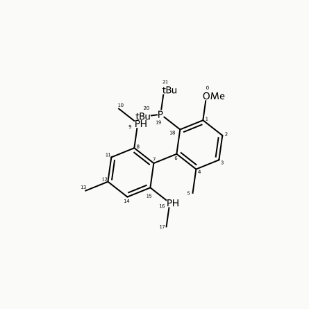 COc1ccc(C)c(-c2c(PC)cc(C)cc2PC)c1P(C(C)(C)C)C(C)(C)C